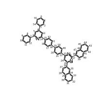 c1ccc(-c2cc(-c3ccccc3)nc(-c3ccc(-c4ccc(-c5cc(-c6ccc7ccccc7c6)nc(-c6ccc7ccccc7c6)n5)cc4)cc3)c2)cc1